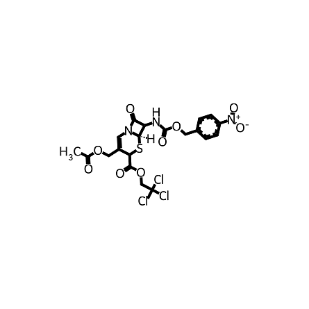 CC(=O)OCC1=CN2C(=O)C(NC(=O)OCc3ccc([N+](=O)[O-])cc3)[C@H]2SC1C(=O)OCC(Cl)(Cl)Cl